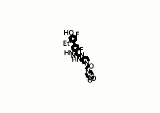 CCc1cc(O)c(F)cc1-c1cc(F)c2c(-c3nc4c([nH]3)CN(C(=O)CN3CCS(=O)(=O)CC3)CC4)n[nH]c2c1